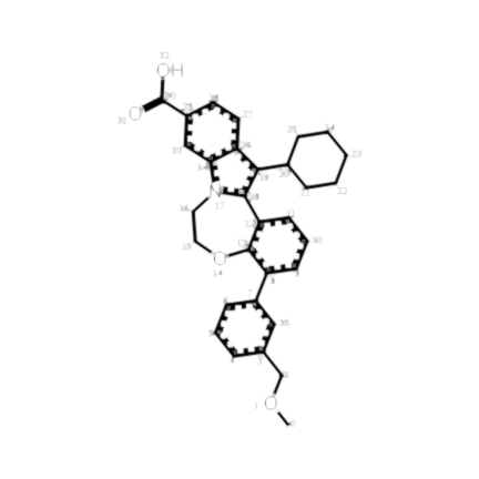 COCc1cccc(-c2cccc3c2OCCn2c-3c(C3CCCCC3)c3ccc(C(=O)O)cc32)c1